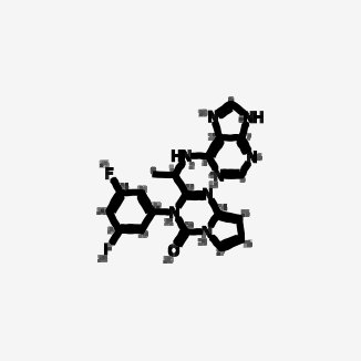 CC(Nc1ncnc2[nH]cnc12)c1nc2cccn2c(=O)n1-c1cc(F)cc(F)c1